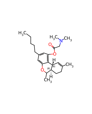 CCCCCc1cc(OC(=O)CN(C)C)c2c(c1)OC(C)[C@@H]1CCC(C)=C[C@@H]21